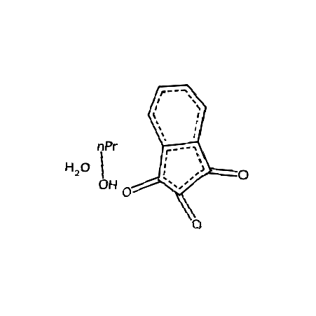 CCCO.O.O=c1c(=O)c2ccccc2c1=O